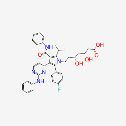 CC(C)c1c(C(=O)Nc2ccccc2)c(-c2ccnc(Nc3ccccc3)n2)c(-c2ccc(F)cc2)n1CC[C@@H](O)C[C@@H](O)CC(=O)O